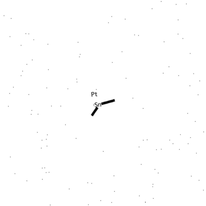 [CH3][Sn][CH3].[Pt]